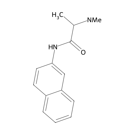 CNC(C)C(=O)Nc1ccc2ccccc2c1